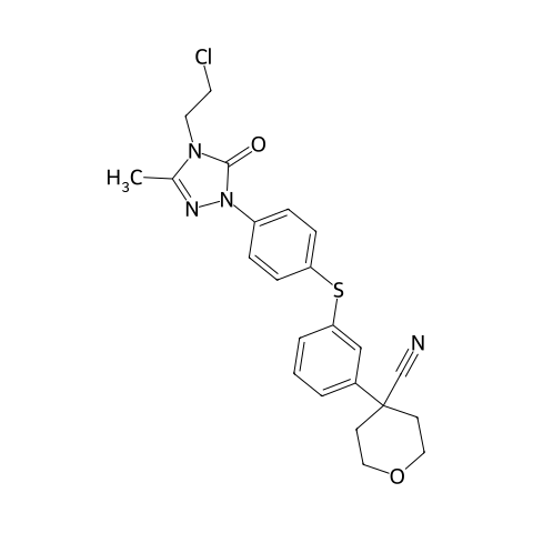 Cc1nn(-c2ccc(Sc3cccc(C4(C#N)CCOCC4)c3)cc2)c(=O)n1CCCl